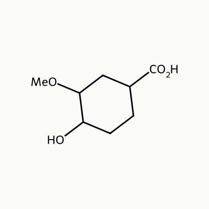 COC1CC(C(=O)O)CCC1O